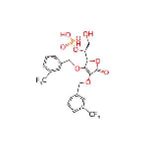 O=C1O[C@H]([C@H](CO)OP(=O)(O)O)C(OCc2cccc(C(F)(F)F)c2)=C1OCc1cccc(C(F)(F)F)c1